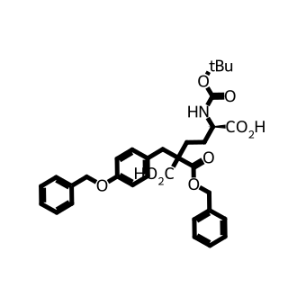 CC(C)(C)OC(=O)N[C@H](CCC(Cc1ccc(OCc2ccccc2)cc1)(C(=O)O)C(=O)OCc1ccccc1)C(=O)O